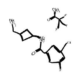 NCC1CC(NC(=O)c2cc(F)cc(Cl)c2)C1.O=C(O)C(F)(F)F